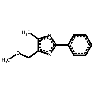 COCc1sc(-c2ccccc2)nc1C